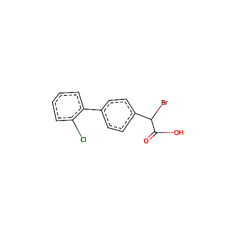 O=C(O)C(Br)c1ccc(-c2ccccc2Cl)cc1